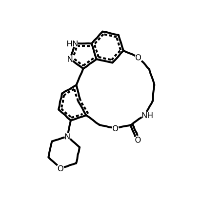 O=C1NCCCOc2ccc3[nH]nc(c3c2)-c2ccc(N3CCOCC3)c(c2)CO1